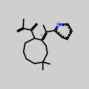 C=C(C)C(=C)C1CCCCC(C)(C)CC/C1=C(/C)c1ccccn1